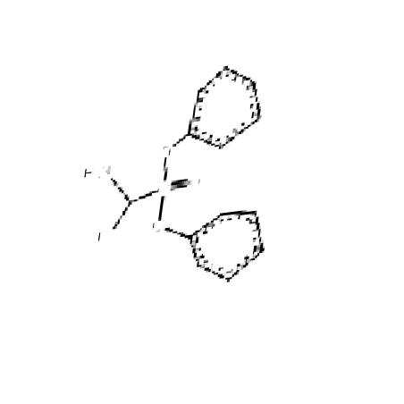 CCC(N)P(=O)(Oc1ccccc1)Oc1ccccc1